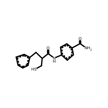 NC(=O)c1ccc(NC(=O)C(CS)Cc2ccccc2)cc1